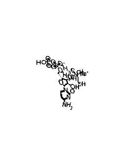 C[N+](C)(C)CCO.Nc1ccn([C@@H]2O[C@H](COP(=O)([O-])OP(=O)([O-])O)[C@@H](O)[C@H]2O)c(=O)n1.[Na+]